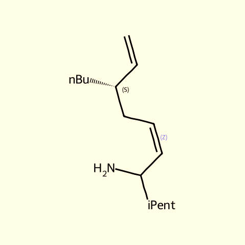 C=C[C@H](C/C=C\C(N)C(C)CCC)CCCC